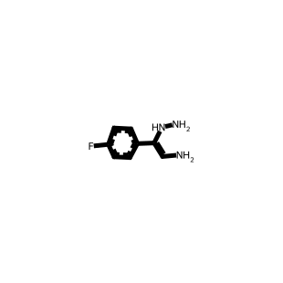 N/C=C(\NN)c1ccc(F)cc1